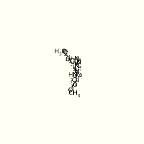 COCCOc1ccc(NC(=O)N2CCN(c3ncnc4cc(OCCOC)ccc34)CC2)cc1